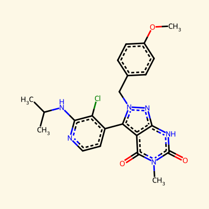 COc1ccc(Cn2nc3[nH]c(=O)n(C)c(=O)c3c2-c2ccnc(NC(C)C)c2Cl)cc1